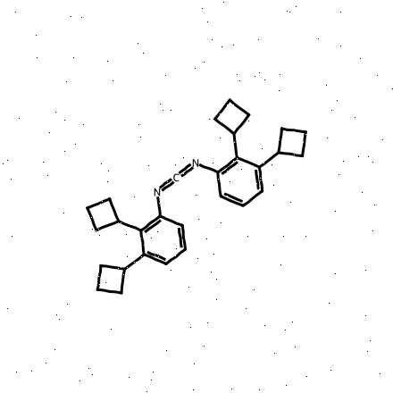 C(=Nc1cccc(C2CCC2)c1C1CCC1)=Nc1cccc(C2CCC2)c1C1CCC1